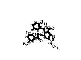 O=C(Nc1cc2c(ncn2CC(F)(F)F)c2c1C(c1cc(F)ccc1Cl)NC2=O)c1cc(F)cc(C(F)(F)F)c1